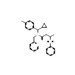 CC(CC(=O)N(Cc1ccccn1)C(c1ccc(Cl)cc1)C1CC1)S(=O)(=O)c1ccccc1